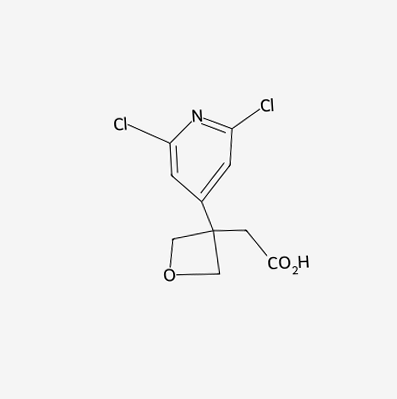 O=C(O)CC1(c2cc(Cl)nc(Cl)c2)COC1